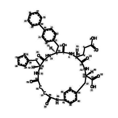 O=C(O)CC[C@H]1NC(=O)[C@H](Cc2ccc(-c3ccccc3)cc2)NC(=O)[C@@H](Cc2cccs2)NC(=O)CCC(=O)Nc2ccc(cc2)C[C@@H](C(=O)O)NC1=O